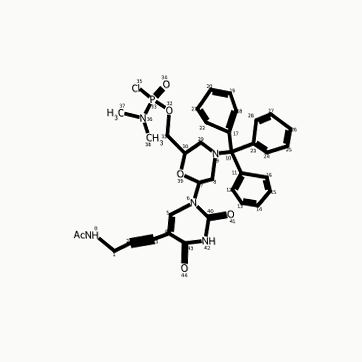 CC(=O)NCC#Cc1cn(C2CN(C(c3ccccc3)(c3ccccc3)c3ccccc3)CC(COP(=O)(Cl)N(C)C)O2)c(=O)[nH]c1=O